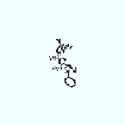 CC(C)Sc1cc(Nc2cc(C3CC3)[nH]n2)ccc1-c1cnc(C2CCCCC2)s1